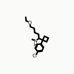 CCOCCCCC(NC)C1(c2ccc(Cl)cc2)CCC1